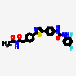 CC(=O)NC(=O)CC1CCC(c2ncc(-c3ccc(NC(=O)Nc4ccc(F)cc4F)cc3)s2)CC1